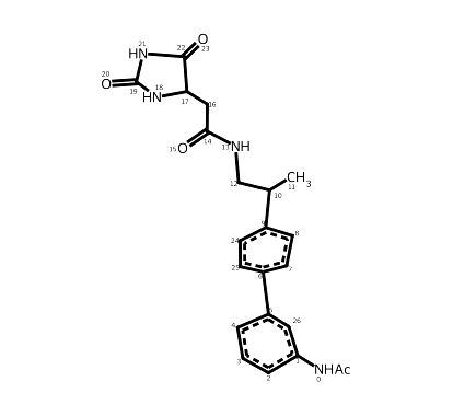 CC(=O)Nc1cccc(-c2ccc(C(C)CNC(=O)CC3NC(=O)NC3=O)cc2)c1